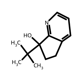 CC(C)(C)C1(O)CCc2cccnc21